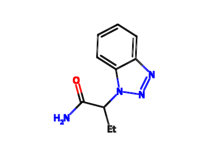 CCC(C(N)=O)n1nnc2ccccc21